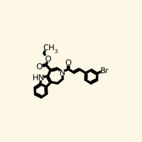 CCOC(=O)C1=CN(C(=O)/C=C/c2cccc(Br)c2)CCc2c1[nH]c1ccccc21